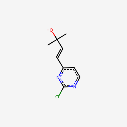 CC(C)(O)C=Cc1ccnc(Cl)n1